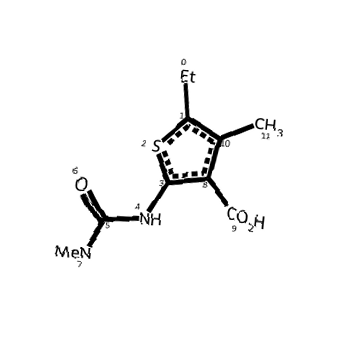 CCc1sc(NC(=O)NC)c(C(=O)O)c1C